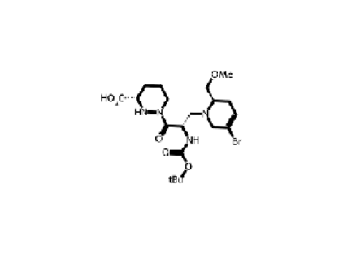 COC[C@H]1CC=C(Br)CN1C[C@H](NC(=O)OC(C)(C)C)C(=O)N1CCC[C@@H](C(=O)O)N1